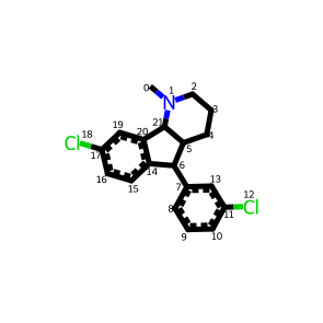 CN1CCCC2C(c3cccc(Cl)c3)c3ccc(Cl)cc3C21